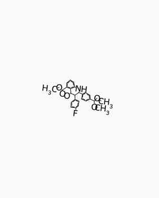 COC(=O)c1cccc2c1C(=O)C(c1ccc(F)cc1)C(c1ccc(C(OC)OC)cc1)N2